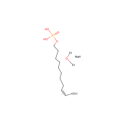 CCCCCCCC/C=C\CCCCCCCCOP(=O)(O)O.CCOCC.[NaH]